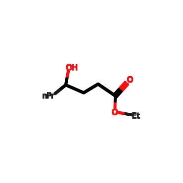 CCCC(O)CCC(=O)OCC